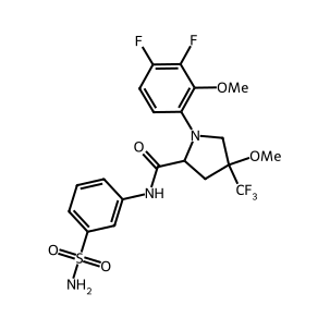 COc1c(N2CC(OC)(C(F)(F)F)CC2C(=O)Nc2cccc(S(N)(=O)=O)c2)ccc(F)c1F